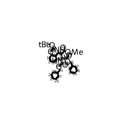 COC(=O)[C@@H]([C@@H](NC(=O)OC(C)(C)C)c1ccccc1)N(NC(=O)OCc1ccccc1)C(=O)OCc1ccccc1